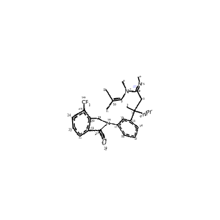 CCCC(C)(C/C(=N/C)N(C)C=C(C)C)c1cccc(N2Cc3c(cccc3C(F)(F)F)C2=O)c1